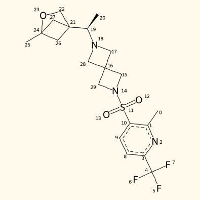 Cc1nc(C(F)(F)F)ccc1S(=O)(=O)N1CC2(CN([C@H](C)C34COC(C)(C3)C4)C2)C1